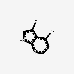 Clc1c[nH]c2nccc(Br)c12